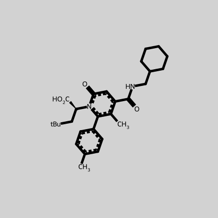 Cc1ccc(-c2c(C)c(C(=O)NCC3CCCCC3)cc(=O)n2[C@@H](CC(C)(C)C)C(=O)O)cc1